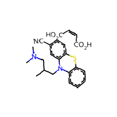 CC(CN(C)C)CN1c2ccccc2Sc2ccc(C#N)cc21.O=C(O)/C=C\C(=O)O